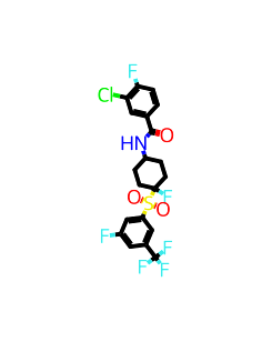 O=C(NC1CCC(F)(S(=O)(=O)c2cc(F)cc(C(F)(F)F)c2)CC1)c1ccc(F)c(Cl)c1